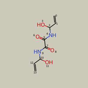 C=CC(O)NC(=O)C(=O)NC(O)C=C